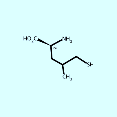 CC(CS)C[C@H](N)C(=O)O